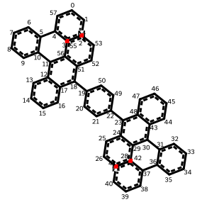 c1cncc(-c2ccccc2-c2c3ccccc3c(-c3ccc(-c4c5ccccc5c(-c5ccccc5-c5cccnc5)c5ccccc45)cc3)c3ccccc23)c1